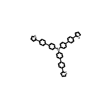 c1csc(-c2ccc(-c3ccc(N(c4ccc(-c5ccc(-c6cccs6)cc5)cc4)c4ccc(-c5ccc(-c6cccs6)cc5)cc4)cc3)cc2)c1